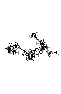 C=C1C[C@H]2[C@H](O)N(C(=O)O)c3cc(OCCCCCOc4cc5c(cc4OC)C(=O)N4CC(=C)C[C@H]4[C@H](O)N5C(=O)OCc4ccc(NC(=O)[C@H](CCCNC(N)=O)n5cc([C@@H](NC(=O)CCCCCN6C(=O)C=CC6=O)C(C)C)nn5)cc4)c(OC)cc3C(=O)N2C1